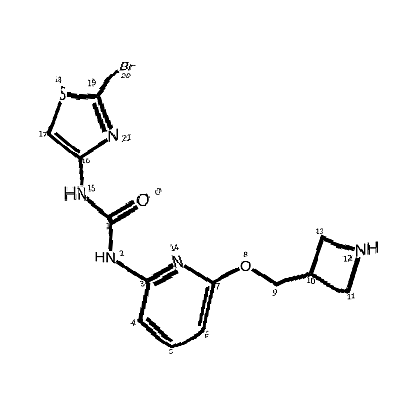 O=C(Nc1cccc(OCC2CNC2)n1)Nc1csc(Br)n1